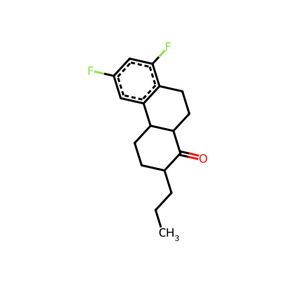 CCCC1CCC2c3cc(F)cc(F)c3CCC2C1=O